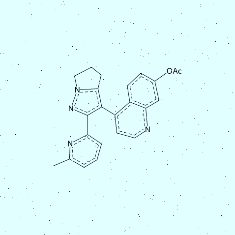 CC(=O)Oc1ccc2c(-c3c(-c4cccc(C)n4)nn4c3CCC4)ccnc2c1